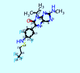 CNc1ncc2nc(-c3cc(F)c(NSCCC(F)(F)F)c(F)c3)c(=O)n(C(C)C)c2n1